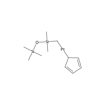 C[Si](C)(C)O[Si](C)(C)[CH2][Pt][CH]1C=CC=C1